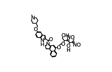 C[C@@H](N=O)C(O)[C@@H](N=O)C(CO)OCOc1cc2c(c3ccccc13)CCN2C(=O)c1cc2cc(OCC3CCN(C)CC3)ccc2[nH]1